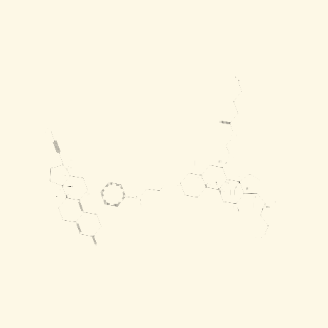 CC#C[C@]1(O)CC[C@H]2[C@@H]3CCC4=CC(=O)CCC4=C3[C@@H](c3ccc(N(C)CCO[C@H]4CC[C@@]5(C)[C@@H](C4)C[C@@H](OCOC(=O)CCCN)[C@@H]4[C@@H]5C[C@H](O)[C@]5(C)[C@@H]([C@H](C)CCC(=O)O)CC[C@@H]45)cc3)C[C@@]21C